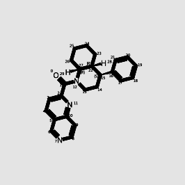 O=C(c1ccc2cnccc2n1)N1CC[C@H](c2ccccc2)[C@H]2CCCC[C@H]21